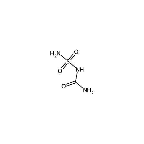 NC(=O)NS(N)(=O)=O